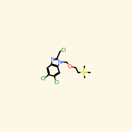 CS(C)(C)CCOCn1c(CCl)nc2cc(Cl)c(Cl)cc21